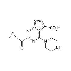 O=C(O)c1csc2nc(C(=O)C3CC3)nc(N3CCNCC3)c12